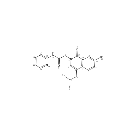 O=C(Cn1nc(CC(F)F)c2ccc(Br)cc2c1=O)Nc1ncccn1